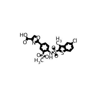 Cc1c(S(=O)(=O)Nc2ccc(-c3nc(C(=O)O)co3)cc2S(C)(=O)=O)sc2ccc(Cl)cc12